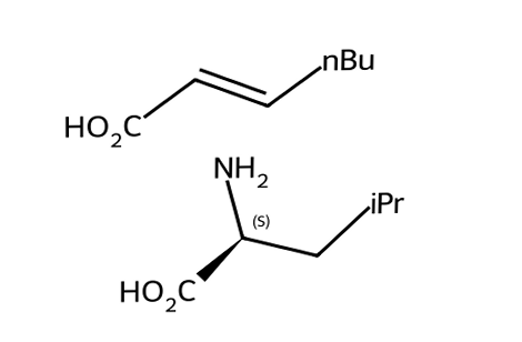 CC(C)C[C@H](N)C(=O)O.CCCCC=CC(=O)O